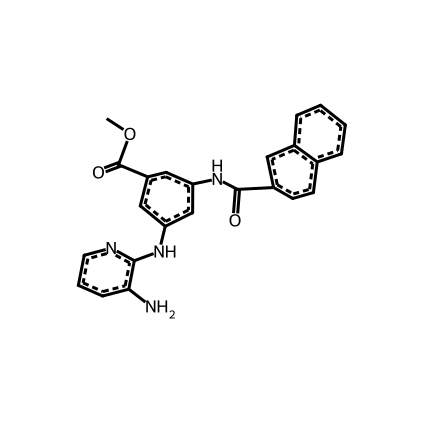 COC(=O)c1cc(NC(=O)c2ccc3ccccc3c2)cc(Nc2ncccc2N)c1